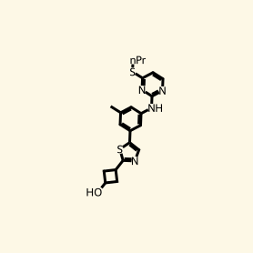 CCCSc1ccnc(Nc2cc(C)cc(-c3cnc(C4CC(O)C4)s3)c2)n1